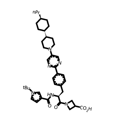 CCC[C@H]1CC[C@H](C2CCN(c3cnc(-c4ccc(C[C@H](NC(=O)c5ccn(C(C)(C)C)c5)C(=O)N5CC(C(=O)O)C5)cc4)nc3)CC2)CC1